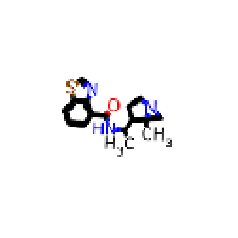 CC(NC(=O)c1cccc2scnc12)C1CCN2CC12C